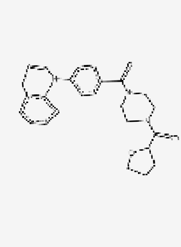 O=C(c1ccc(N2C=CCc3ccccc32)cc1)N1CCN(C(=O)C2CCCO2)CC1